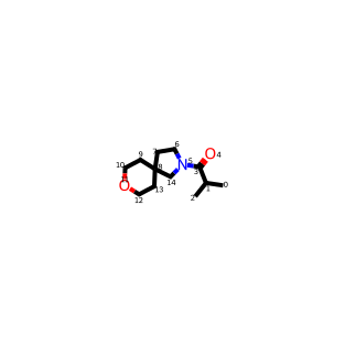 CC(C)C(=O)N1CCC2(CCOCC2)C1